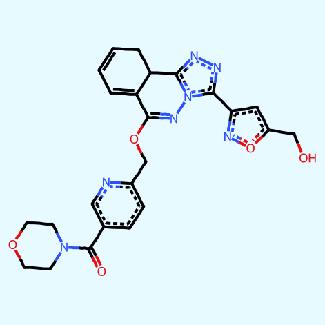 O=C(c1ccc(COC2=Nn3c(-c4cc(CO)on4)nnc3C3CC=CC=C23)nc1)N1CCOCC1